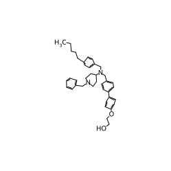 CCCCCc1ccc(CN(Cc2ccc(-c3ccc(OCCO)cc3)cc2)C2CCN(Cc3ccccc3)CC2)cc1